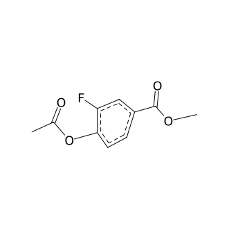 COC(=O)c1ccc(OC(C)=O)c(F)c1